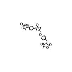 COC(=O)C(Cc1ccc(OCC2CN(c3ccc(-c4noc(=O)[nH]4)cc3)C(=O)O2)cc1)NC(C)(C)C